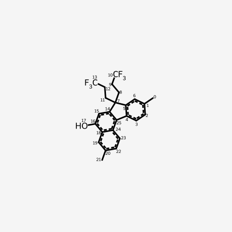 Cc1ccc2c(c1)C(CCC(F)(F)F)(CCC(F)(F)F)c1cc(O)c3cc(C)ccc3c1-2